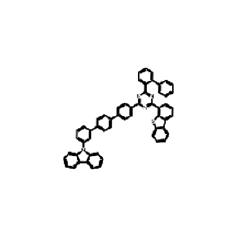 c1ccc(-c2ccccc2-c2nc(-c3ccc(-c4ccc(-c5cccc(-n6c7ccccc7c7ccccc76)c5)cc4)cc3)nc(-c3cccc4c3sc3ccccc34)n2)cc1